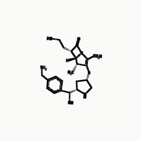 C[C@H]1C(S[C@@H]2CN[C@H](C(O)c3ccc(CN)cc3)C2)=C(C(=O)O)N2C(=O)[C@@H](CCO)[C@@H]12